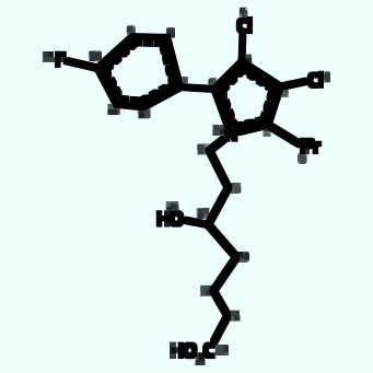 CC(C)c1c(Cl)c(Cl)c(-c2ccc(F)cc2)n1CCC(O)CCCC(=O)O